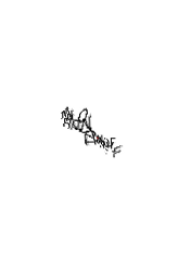 Cn1cc(C(=O)Nc2cc3[nH]c(-c4ccnc(OC(F)C(F)CF)n4)cc3cn2)cn1